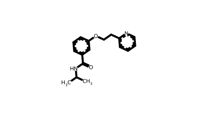 CC(C)NC(=O)c1cccc(OCCc2ccccn2)c1